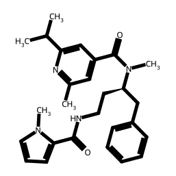 Cc1cc(C(=O)N(C)[C@H](CCNC(=O)c2cccn2C)Cc2ccccc2)cc(C(C)C)n1